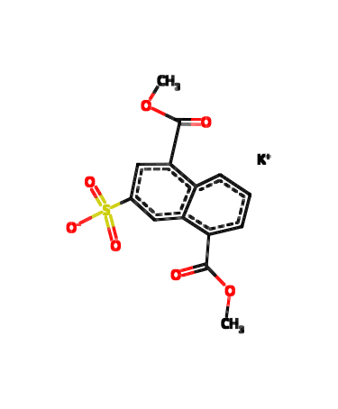 COC(=O)c1cc(S(=O)(=O)[O-])cc2c(C(=O)OC)cccc12.[K+]